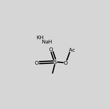 CC(=O)OS(C)(=O)=O.[KH].[NaH]